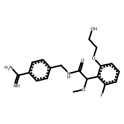 COC(C(=O)NCc1ccc(C(=N)N)cc1)c1c(F)cccc1OCCO